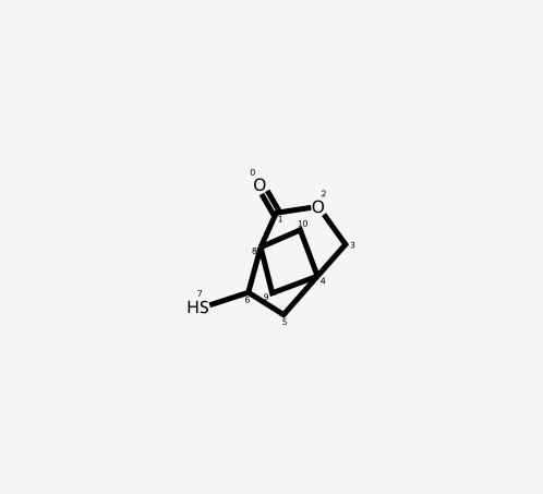 O=C1OCC23CC(S)C1(C2)C3